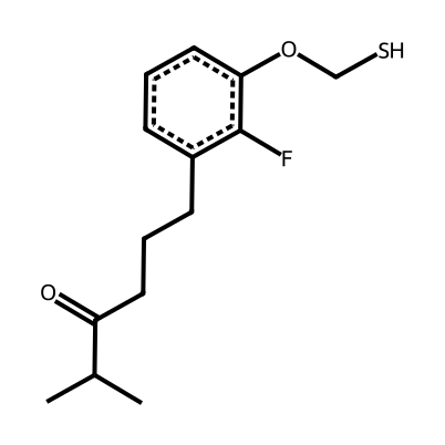 CC(C)C(=O)CCCc1cccc(OCS)c1F